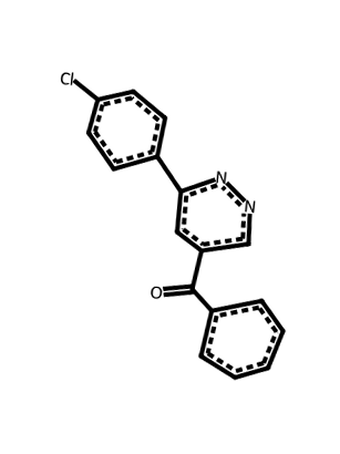 O=C(c1ccccc1)c1cnnc(-c2ccc(Cl)cc2)c1